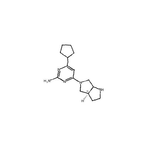 Nc1nc(C2CCCC2)cc(N2CC3NCC[C@H]3C2)n1